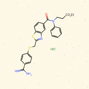 CCOC(=O)CCN(C(=O)c1ccc2sc(CSc3ccc(C(=N)N)cc3)nc2c1)c1ccccc1.Cl